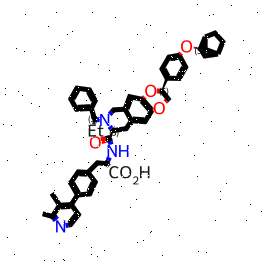 CC[C@@H](c1ccccc1)N1Cc2cc3c(cc2C[C@H]1C(=O)NC(Cc1ccc(-c2ccnc(C)c2C)cc1)C(=O)O)OC[C@H](c1ccc(O[C@H]2CC4CCC2C4)cc1)O3